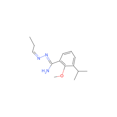 CC/C=N\N=C(/N)c1cccc(C(C)C)c1OC